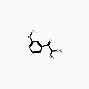 CNc1cc(C(=O)C(C)C)ccn1